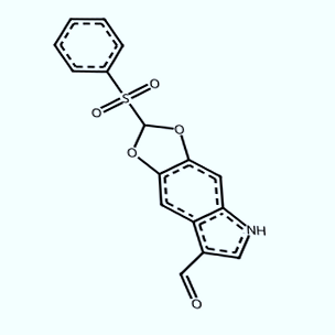 O=Cc1c[nH]c2cc3c(cc12)OC(S(=O)(=O)c1ccccc1)O3